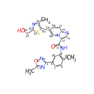 Cc1nc(-c2ccc(C)c(NC(=O)c3cnc4ccc(-c5sc(CO)nc5C)cn34)c2)no1